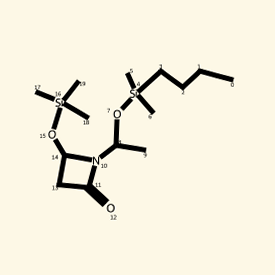 CCCC[Si](C)(C)OC(C)N1C(=O)CC1O[Si](C)(C)C